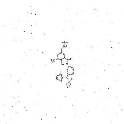 Cn1cnnc1[C@H](c1cccc(N2Cc3c(cc(CNC4(C)CCC4)cc3C(F)(F)F)C2=O)c1)C1(F)COC1